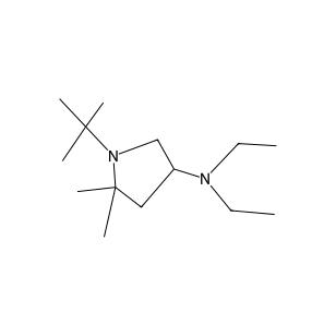 CCN(CC)C1CN(C(C)(C)C)C(C)(C)C1